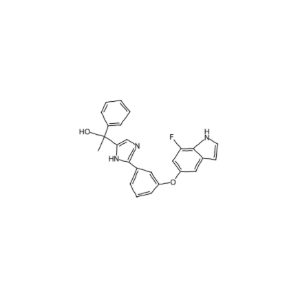 CC(O)(c1ccccc1)c1cnc(-c2cccc(Oc3cc(F)c4[nH]ccc4c3)c2)[nH]1